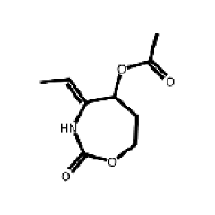 C/C=C1\NC(=O)OCCC1OC(C)=O